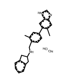 Cc1cc(-c2cc3[nH]cnc3cc2C)ccc1CNC1Cc2ccccc2C1.Cl.Cl